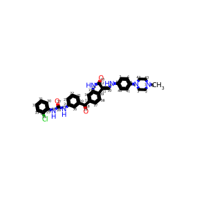 CN1CCN(c2ccc(NC=C3C(=O)Nc4cc(C(=O)c5cccc(NC(=O)Nc6ccccc6Cl)c5)ccc43)cc2)CC1